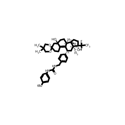 CC1(C)COC2(CCC3=C4[C@@H](CC[C@@]3(O)C2)[C@@H]2CC[C@@](O)(C(F)(F)C(F)(F)F)[C@@]2(C)C[C@@H]4c2ccc(CNC(=O)Nc3ccc(C(C)(C)C)cc3)cc2)OC1